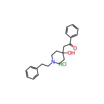 Cl.O=C(CC1(O)CCN(CCc2ccccc2)CC1)c1ccccc1